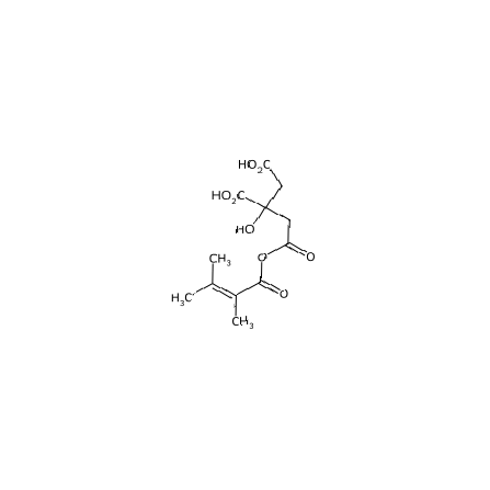 CC(C)=C(C)C(=O)OC(=O)CC(O)(CC(=O)O)C(=O)O